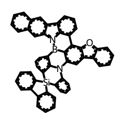 c1ccc2c(c1)-c1ccccc1[Si]21c2ccccc2N2c3cc4c(oc5ccccc54)c4c3B(c3cccc1c32)n1c2cc3ccccc3cc2c2cccc-4c21